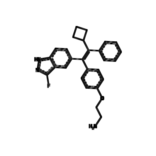 NCCOc1ccc(/C(=C(\c2ccccc2)C2CCC2)c2ccc3[nH]nc(F)c3c2)cc1